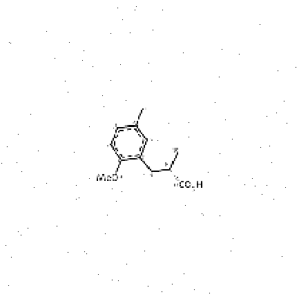 COc1ccc(C)cc1C[C@H](C)C(=O)O